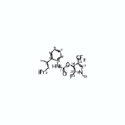 CC(C)CC(C)c1ccccc1NC(=O)Oc1c(C(F)(F)F)cn(C)c1F